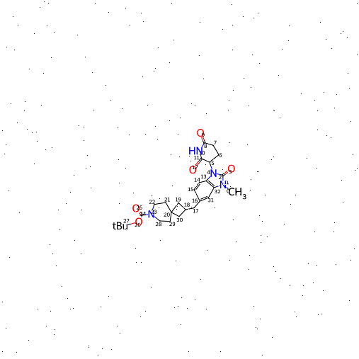 Cn1c(=O)n(C2CCC(=O)NC2=O)c2ccc(CC3CC4(CCN(C(=O)OC(C)(C)C)CC4)C3)cc21